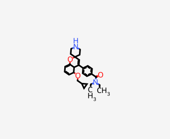 CCN(CC)C(=O)c1ccc(C2=CC3(CCNCC3)OC3=CC=CC(OCC4CC4)C32)cc1